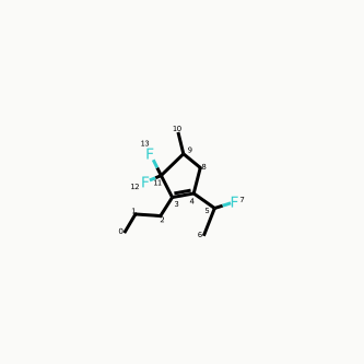 CCCC1=C(C(C)F)CC(C)C1(F)F